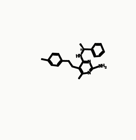 Cc1ccc(CCc2c(C)nc(N)nc2N[C@@H](C)c2ccccc2)cc1